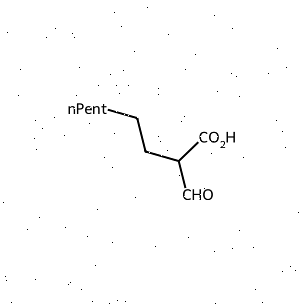 CCCCCCCC(C=O)C(=O)O